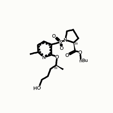 CCCCOC(=O)[C@@H]1CCCN1S(=O)(=O)c1ccc(C)nc1O[C@@H](C)CCCO